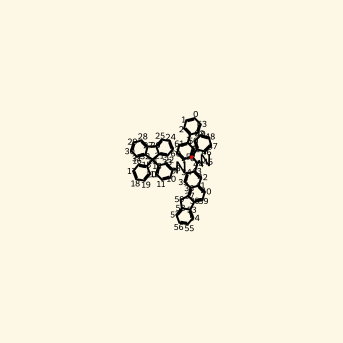 c1ccc(-c2ccc(N(c3cccc(C4(c5ccccc5)c5ccccc5-c5ccccc54)c3)c3cc4c5c(ccc4cc3C3=Nc4ccccc4C3)-c3ccccc3C5)cc2)cc1